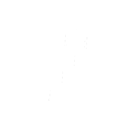 FCCC=Cc1ccccc1